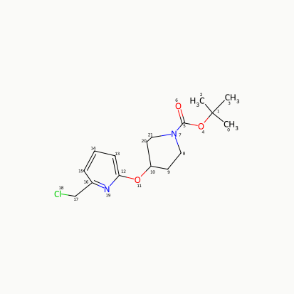 CC(C)(C)OC(=O)N1CCC(Oc2cccc(CCl)n2)CC1